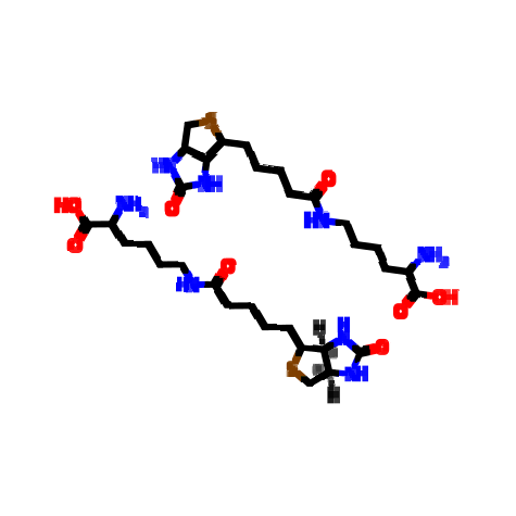 NC(CCCCNC(=O)CCCCC1SCC2NC(=O)NC21)C(=O)O.NC(CCCCNC(=O)CCCCC1SC[C@@H]2NC(=O)N[C@H]12)C(=O)O